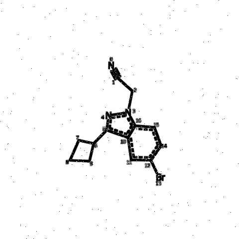 N#CCn1nc(C2CCC2)c2cc(Br)ccc21